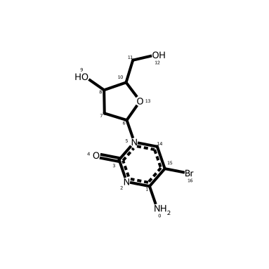 Nc1nc(=O)n(C2CC(O)C(CO)O2)cc1Br